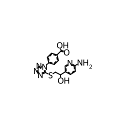 Nc1ccc(C(O)CSc2nnnn2-c2ccc(C(=O)O)cc2)cn1